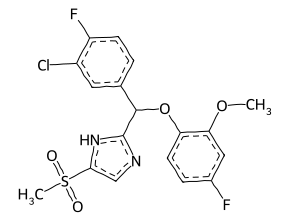 COc1cc(F)ccc1OC(c1ccc(F)c(Cl)c1)c1ncc(S(C)(=O)=O)[nH]1